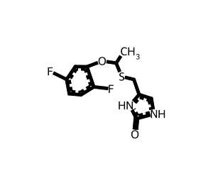 CC(Oc1cc(F)ccc1F)SCc1c[nH]c(=O)[nH]1